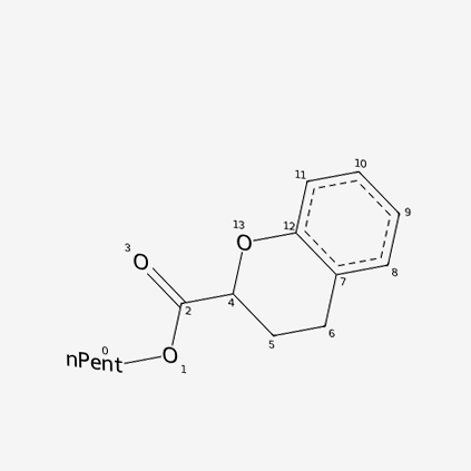 CCCCCOC(=O)C1CCc2ccccc2O1